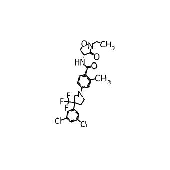 CCN1OC[C@@H](NC(=O)c2ccc(N3CCC(c4cc(Cl)cc(Cl)c4)(C(F)(F)F)C3)cc2C)C1=O